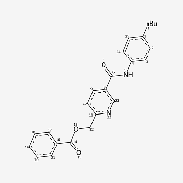 CCCCc1ccc(NC(=O)c2ccc(COC(=O)c3ccccc3)nc2)cc1